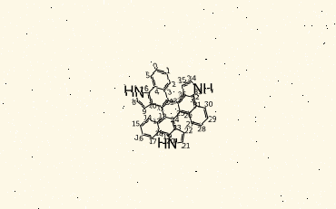 c1ccc2c(c1)c1[nH]ccc1c1c3c4ccccc4c4[nH]ccc4c3c3c4ccccc4c4[nH]ccc4c3c21